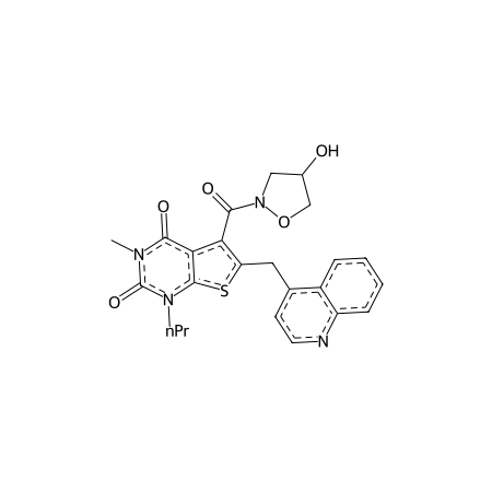 CCCn1c(=O)n(C)c(=O)c2c(C(=O)N3CC(O)CO3)c(Cc3ccnc4ccccc34)sc21